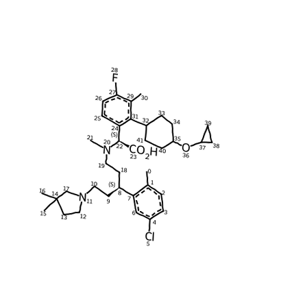 Cc1ccc(Cl)cc1[C@@H](CCN1CCC(C)(C)C1)CCN(C)[C@H](C(=O)O)c1ccc(F)c(C)c1C1CCC(OC2CC2)CC1